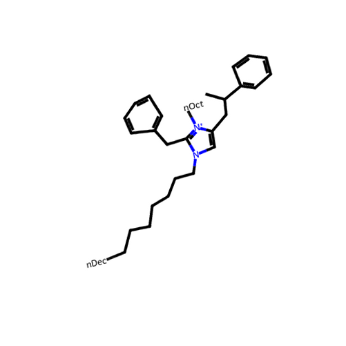 CCCCCCCCCCCCCCCCCn1cc(CC(C)c2ccccc2)[n+](CCCCCCCC)c1Cc1ccccc1